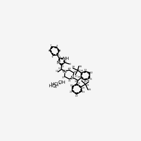 Cc1[nH]c(-c2ccccc2)nc1C(C)N1CCN(C(c2ccccc2C(C)(C)C)c2ccccc2C(C)(C)C)CC1.Cl.Cl.Cl